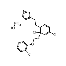 ClC1=CC(Cl)(OCOc2ccccc2Cl)C(CCn2ccnc2)C=C1.O=[N+]([O-])O